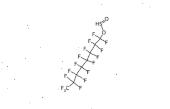 O=[SH]OC(F)(F)C(F)(F)C(F)(F)C(F)(F)C(F)(F)C(F)(F)C(F)(F)C(F)(F)F